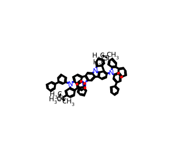 C[Si](C)(C)c1ccc(-c2ccccc2)c(N(c2cccc(-c3ccccc3)c2)c2ccc3c4cc5c(cc4n4c6ccccc6c2c34)c2ccc(N(c3cccc(-c4ccccc4)c3)c3cc([Si](C)(C)C)ccc3-c3ccccc3)c3c4ccccc4n5c23)c1